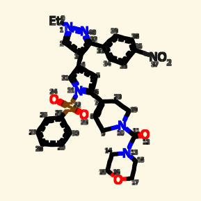 CCn1cc(-c2cc(C3=CCN(C(=O)N4CCOCC4)CC3)n(S(=O)(=O)c3ccccc3)c2)c(-c2ccc([N+](=O)[O-])cc2)n1